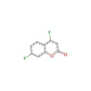 O=c1cc(F)c2ccc(F)cc2o1